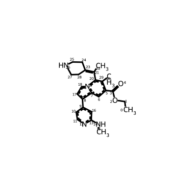 CCOC(=O)c1cc2c(-c3ccnc(NC)c3)ccn2c(C(C)=C2CCNCC2)c1C